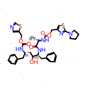 CC(C)[C@H](NC(=O)OCc1csc(N2CCCC2)n1)C(=O)N[C@@H](Cc1ccccc1)[C@@H](O)C[C@H](Cc1ccccc1)NC(=O)OCc1cncs1